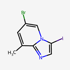 Cc1cc(Br)cn2c(I)cnc12